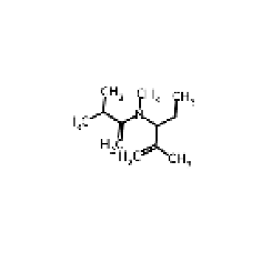 C=C(C)C(CC)N(C)C(=C)C(C)C